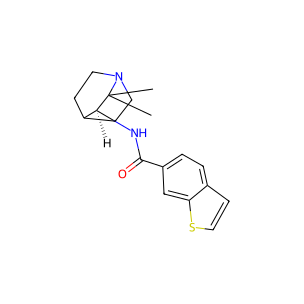 CC1(C)[C@@H](NC(=O)c2ccc3ccsc3c2)C2CCN1CC2